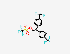 O=S(=O)(OCC(c1ccc(C(F)(F)F)cc1)c1ccc(C(F)(F)F)cc1)C(F)(F)F